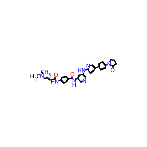 CN(C)C/C=C/C(=O)Nc1ccc(C(=O)Nc2cncc(Nc3ccc(-c4ccc(N5CCCC5=O)cc4)cn3)c2)cc1